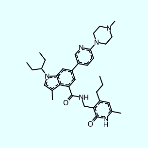 CCCc1cc(C)[nH]c(=O)c1CNC(=O)c1cc(-c2ccc(N3CCN(C)CC3)nc2)cc2c1c(C)cn2C(CC)CC